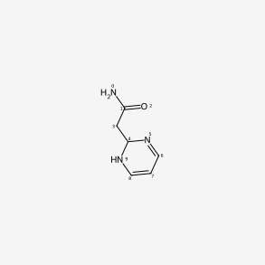 NC(=O)CC1N=CC=CN1